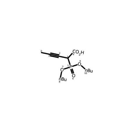 CC#CC(C(=O)O)P(=O)(OCCCC)OCCCC